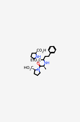 CCOC(=O)C(CCc1ccccc1)N[C@@H](C)C(=O)N1CCC[C@H]1C(=O)O.O=C(O)[C@@H]1CCCN1